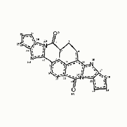 O=C1C2CC=c3c4c2c(ccc4c(=O)n2c3nc3sccc32)-c2nc3sccc3n21